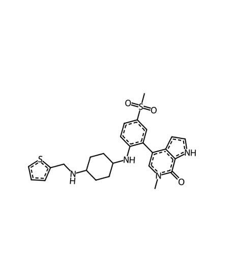 Cn1cc(-c2cc(S(C)(=O)=O)ccc2NC2CCC(NCc3cccs3)CC2)c2cc[nH]c2c1=O